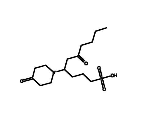 CCCCC(=O)CC(CCCS(=O)(=O)O)[S+]1CCC(=O)CC1